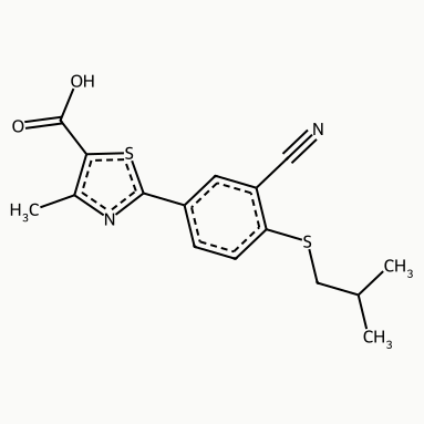 Cc1nc(-c2ccc(SCC(C)C)c(C#N)c2)sc1C(=O)O